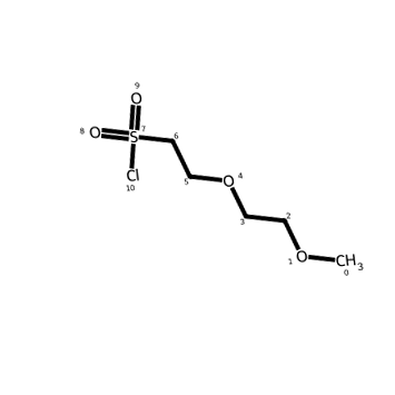 COCCOCCS(=O)(=O)Cl